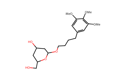 COc1cc(CCCCOC2CC(O)CC(CO)O2)cc(OC)c1OC